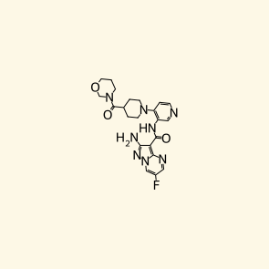 Nc1nn2cc(F)cnc2c1C(=O)Nc1cnccc1N1CCC(C(=O)N2CCCOC2)CC1